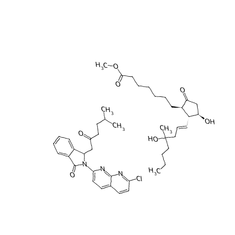 CC(C)CCC(=O)CC1c2ccccc2C(=O)N1c1ccc2ccc(Cl)nc2n1.CCCCC(C)(O)C/C=C/[C@H]1[C@H](O)CC(=O)[C@@H]1CCCCCCC(=O)OC